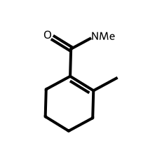 CNC(=O)C1=C(C)CCCC1